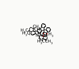 CC1(C)CCC(C)(C)c2c1ncc1c2c2cc3c(c4c5c6c(ncc5n1c24)C(C)(C)CCC6(C)C)C(c1ccccc1)(c1ccccc1)c1ccccc1-3